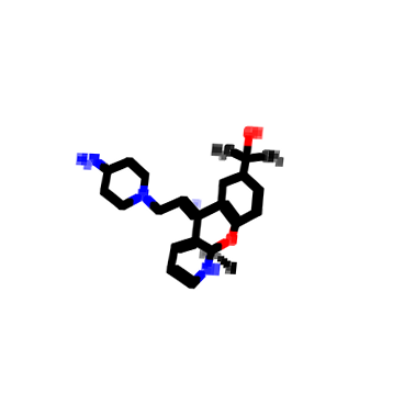 CC(C)(O)C1C=CC2=C(C1)/C(=C/CN1CCC(N)CC1)C1=CC=CN[C@@H]1O2